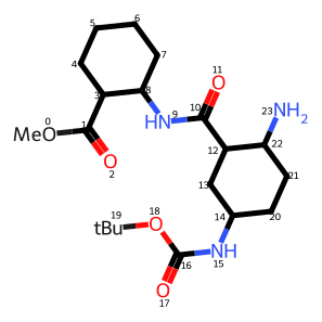 COC(=O)C1CCCCC1NC(=O)C1CC(NC(=O)OC(C)(C)C)CCC1N